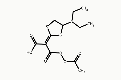 CCN(CC)C1CSC(=C(C(=O)O)C(=O)OOC(C)=O)S1